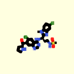 Cn1c([C@H](CCNS(C)(=O)=O)Nc2ncnc3cc(C(=O)C4C=CCN4)c(Cl)cc23)nc2cc(Cl)ccc21